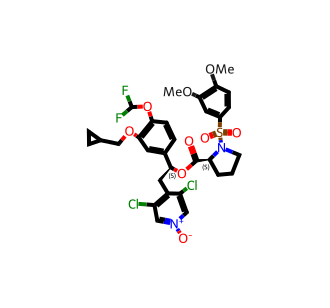 COc1ccc(S(=O)(=O)N2CCC[C@H]2C(=O)O[C@@H](Cc2c(Cl)c[n+]([O-])cc2Cl)c2ccc(OC(F)F)c(OCC3CC3)c2)cc1OC